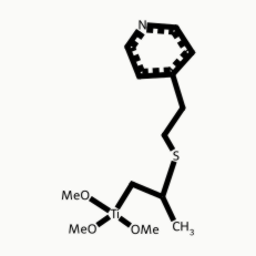 C[O][Ti]([CH2]C(C)SCCc1ccncc1)([O]C)[O]C